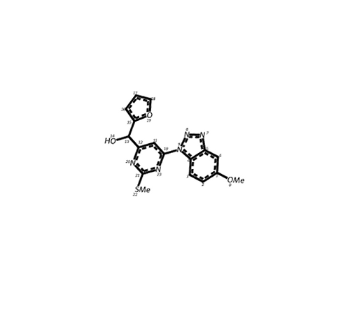 COc1ccc2c(c1)nnn2-c1cc(C(O)c2ccco2)nc(SC)n1